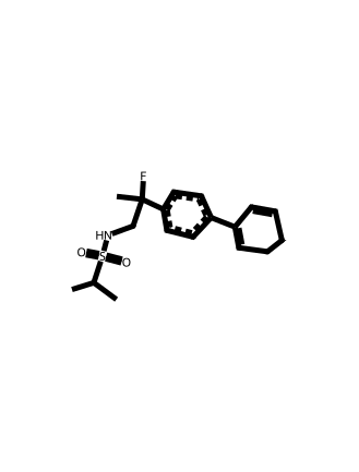 CC(C)S(=O)(=O)NCC(C)(F)c1ccc(C2=CC[CH]C=C2)cc1